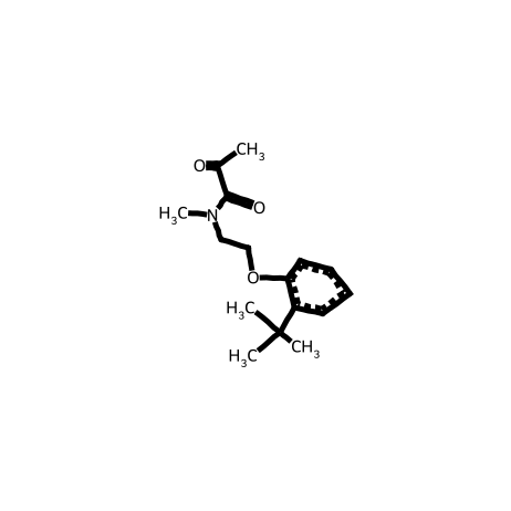 CC(=O)C(=O)N(C)CCOc1ccccc1C(C)(C)C